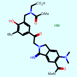 Br.CNC(=O)c1cc2c(cc1N(C)C)CN(CC(=O)c1cc(CN(CC(=O)O)C(=O)OC)c(O)c(C(C)(C)C)c1)C2=N